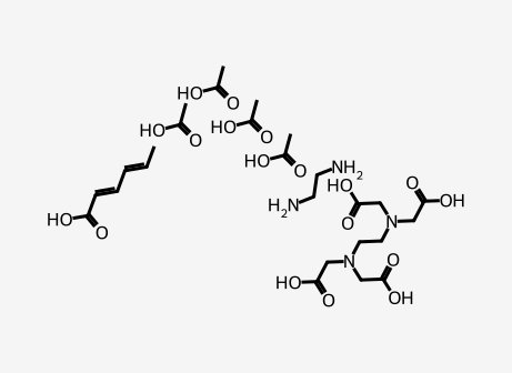 CC(=O)O.CC(=O)O.CC(=O)O.CC(=O)O.CC=CC=CC(=O)O.NCCN.O=C(O)CN(CCN(CC(=O)O)CC(=O)O)CC(=O)O